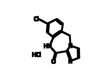 Cl.O=C1Nc2cc(Cl)ccc2Cn2ccnc21